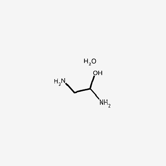 NCC(N)O.O